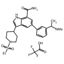 CCS(=O)(=O)N1CCC(c2c[nH]c3c(C(N)=O)cc(-c4cccc(C(C)NC)c4)cc23)CC1.O=C(O)C(F)(F)F